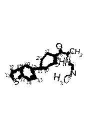 C=C(N/C=N\C)C(=O)C1CCC(c2ccc3sccc3c2)CC1